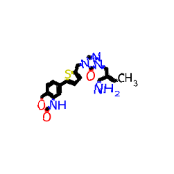 C/C=C(/CN)Cn1ncn(Cc2ccc(-c3ccc4c(c3)NC(=O)OC4)s2)c1=O